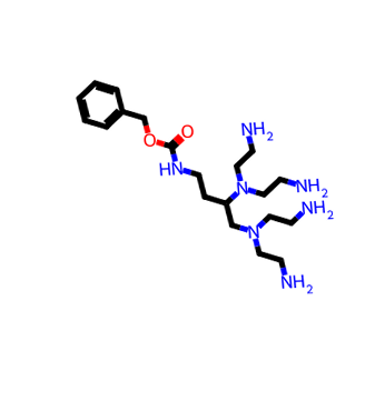 NCCN(CCN)CC(CCNC(=O)OCc1ccccc1)N(CCN)CCN